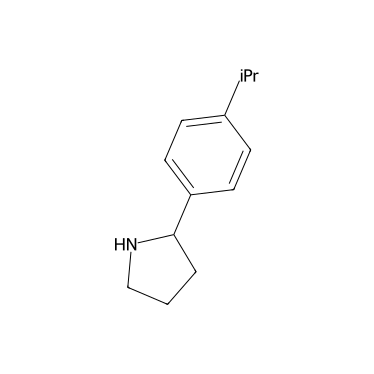 CC(C)c1ccc(C2CCCN2)cc1